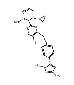 COc1ncnc(C2CC2)c1-c1ncc(Cl)c(Cc2ccc(-c3nc(C(F)(F)F)cn3C)cc2)n1